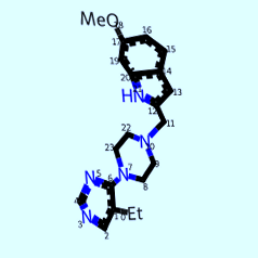 CCc1cncnc1N1CCN(Cc2cc3ccc(OC)cc3[nH]2)CC1